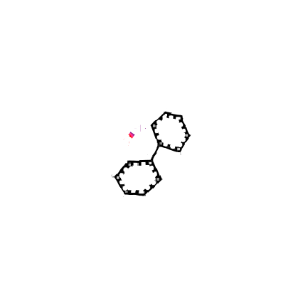 O=P.c1ccc(-c2ccccc2)cc1